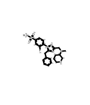 CN(Cc1nc(Cc2ccccc2)n(-c2ccc(S(N)(=O)=O)cc2F)n1)C1CCCOC1